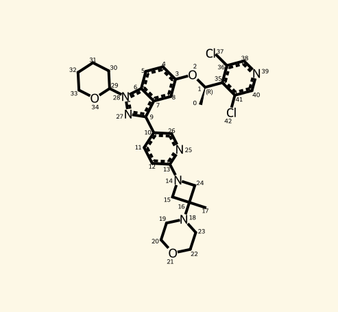 C[C@@H](Oc1ccc2c(c1)c(-c1ccc(N3CC(C)(N4CCOCC4)C3)nc1)nn2C1CCCCO1)c1c(Cl)cncc1Cl